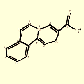 O=C(O)C1=CN2N=Cc3ccccc3C2=CC1